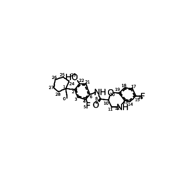 CC1(c2cc(F)c(NC(=O)C3CNc4cc(F)ccc4O3)cc2O)CCCCC1